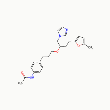 CC(=O)Nc1ccc(CCCOC(CCc2ccc(C)o2)Cn2ccnc2)cc1